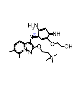 Cc1ccc2c(/N=C3\C=C(OCCO)C(=N)C=C3N)c(OCC[N+](C)(C)C)nn2c1C